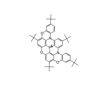 CC(C)(C)c1ccc2c(c1)Oc1c(C(C)(C)C)cc3c4c1N2c1cc(C(C)(C)C)cc2c1P4(=S)c1c(cc(C(C)(C)C)c4c1N2c1ccc(C(C)(C)C)cc1O4)O3